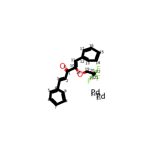 O=C(C=Cc1ccccc1)C(=Cc1ccccc1)OCC(F)(F)F.[Pd].[Pd]